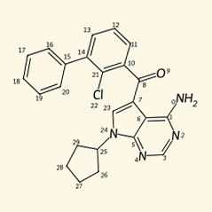 Nc1ncnc2c1c(C(=O)c1cccc(-c3ccccc3)c1Cl)cn2C1CCCC1